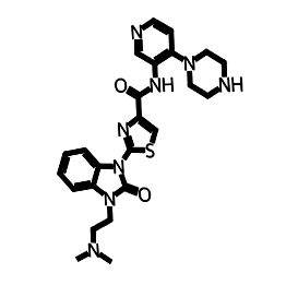 CN(C)CCn1c(=O)n(-c2nc(C(=O)Nc3cnccc3N3CCNCC3)cs2)c2ccccc21